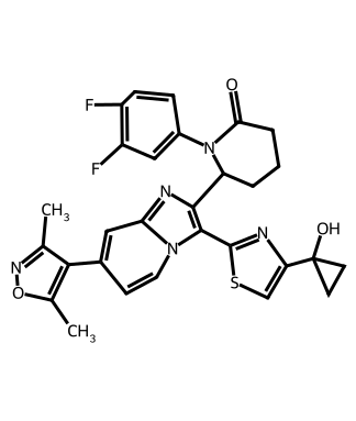 Cc1noc(C)c1-c1ccn2c(-c3nc(C4(O)CC4)cs3)c(C3CCCC(=O)N3c3ccc(F)c(F)c3)nc2c1